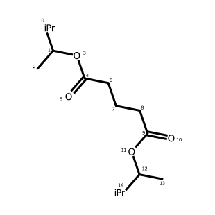 CC(C)C(C)OC(=O)CCCC(=O)OC(C)C(C)C